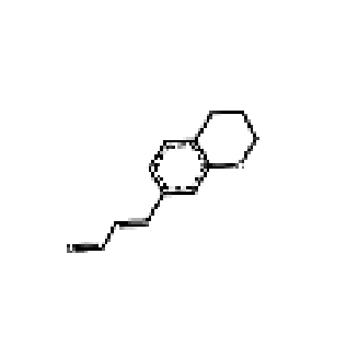 O=C/C=C/c1ccc2c(c1)OCCC2